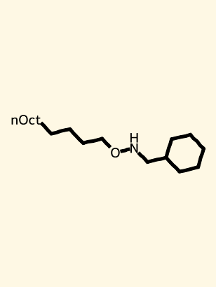 CCCCCCCCCCCCONCC1CCCCC1